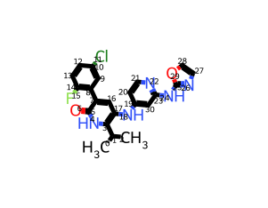 CC(C)c1[nH]c(=O)c(-c2cc(Cl)ccc2F)cc1Nc1ccnc(Nc2ncco2)c1